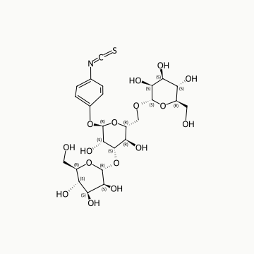 OC[C@H]1O[C@H](OC[C@H]2O[C@H](Oc3ccc(N=C=S)cc3)[C@@H](O)[C@@H](O[C@H]3O[C@H](CO)[C@@H](O)[C@H](O)[C@@H]3O)[C@@H]2O)[C@@H](O)[C@@H](O)[C@@H]1O